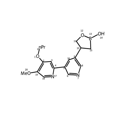 CCCOc1cc(-c2cncc(C3COB(O)C3)c2)ncc1OC